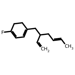 C=CC(C/C=C/C)CC1=CC=C(F)CC1